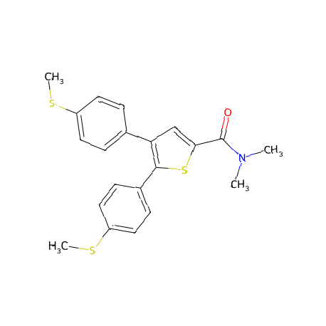 CSc1ccc(-c2cc(C(=O)N(C)C)sc2-c2ccc(SC)cc2)cc1